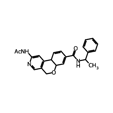 CC(=O)Nc1cc2c(cn1)COC1C=C(C(=O)NC(C)c3ccccc3)C=CC21